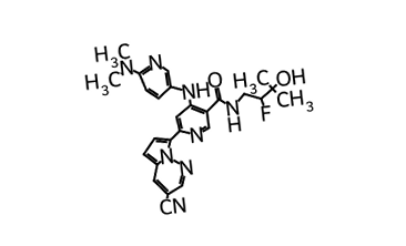 CN(C)c1ccc(Nc2cc(-c3ccc4cc(C#N)cnn34)ncc2C(=O)NCC(F)C(C)(C)O)cn1